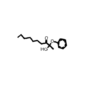 CCCCCCCC(=O)C(C)(O)Oc1ccccc1